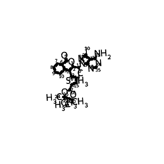 CC(c1oc(=O)c2ccccc2c1-c1ccc(C2OC(C)(C)C(C)(C)O2)s1)n1nc(I)c2c(N)ncnc21